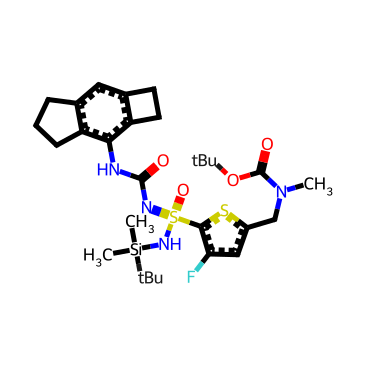 CN(Cc1cc(F)c(S(=O)(=NC(=O)Nc2c3c(cc4c2CC4)CCC3)N[Si](C)(C)C(C)(C)C)s1)C(=O)OC(C)(C)C